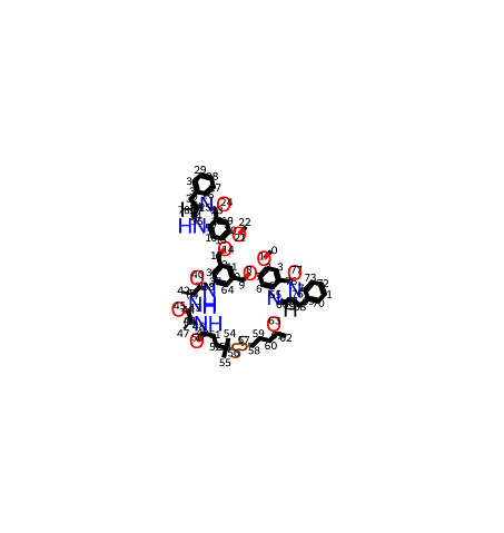 COc1cc2c(cc1OCc1cc(COc3cc4c(cc3OC)C(=O)N3c5ccccc5C[C@H]3CN4)cc(NC(=O)[C@H](C)NC(=O)[C@H](C)NC(=O)CCC(C)(C)SSCCCC(C)=O)c1)N=C[C@@H]1Cc3ccccc3N1C2=O